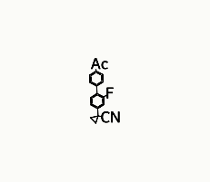 CC(=O)c1ccc(-c2ccc(C3(C#N)CC3)cc2F)cc1